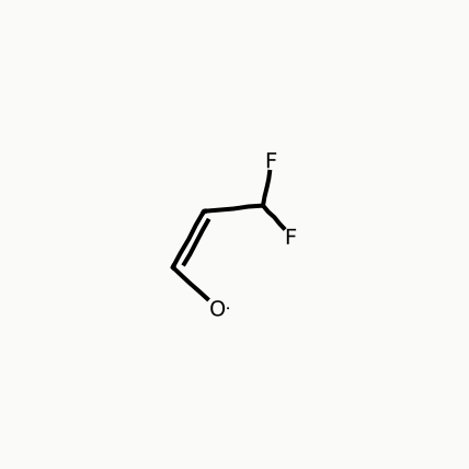 [O]/C=C\C(F)F